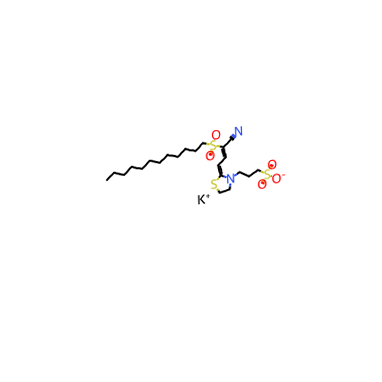 CCCCCCCCCCCCS(=O)(=O)C(C#N)=CC=C1SCCN1CCCS(=O)(=O)[O-].[K+]